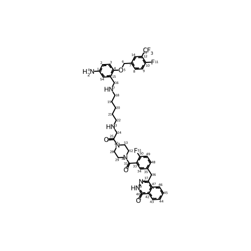 Nc1ccc(OCc2ccc(F)c(C(F)(F)F)c2)c(CNCCCCCNCC(=O)N2CCN(C(=O)c3cc(Cc4n[nH]c(=O)c5ccccc45)ccc3F)CC2)c1